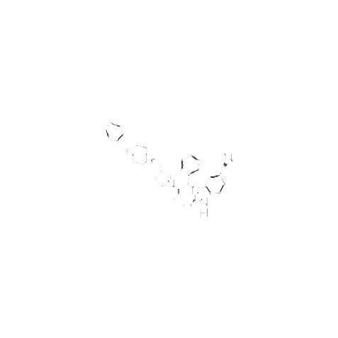 N#Cc1ccc2[nH]c(=O)n(C(C(=O)N3CCC(CN4CCN(Cc5ccccc5)CC4)C3)c3ccccc3)c2c1